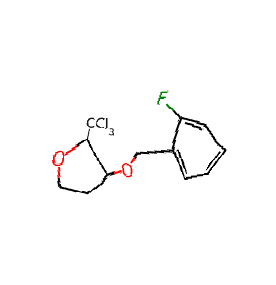 Fc1ccccc1COC1CCOC1C(Cl)(Cl)Cl